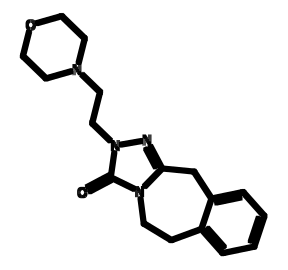 O=c1n(CCN2CCOCC2)nc2n1CCc1ccccc1C2